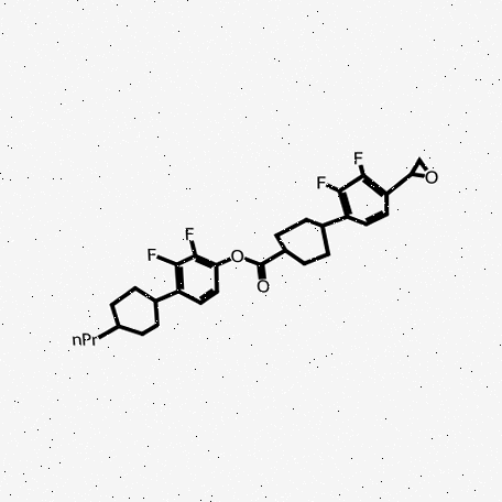 CCCC1CCC(c2ccc(OC(=O)C3CCC(c4ccc(C5CO5)c(F)c4F)CC3)c(F)c2F)CC1